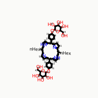 CCCCCCc1c2nc(c(-c3ccc(OC4OC(CO)C(O)C(O)C4O)cc3)c3ccc([nH]3)c(CCCCCC)c3nc(c(-c4ccc(OC5OC(CO)C(O)C(O)C5O)cc4)c4ccc1[nH]4)C=C3)C=C2